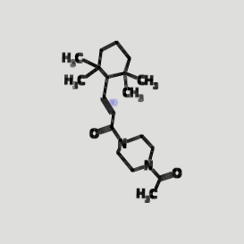 CC(=O)N1CCN(C(=O)/C=C/C2C(C)(C)CCCC2(C)C)CC1